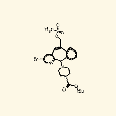 CC(C)(C)OC(=O)N1CCN(C2c3ccccc3C(COS(C)(=O)=O)=Cc3cc(Br)cnc32)CC1